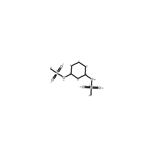 CS(=O)(=O)OC1CCCC(OS(C)(=O)=O)C1